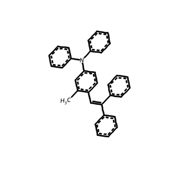 Cc1cc(N(c2ccccc2)c2ccccc2)ccc1C=C(c1ccccc1)c1ccccc1